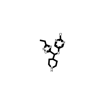 CCc1noc(C(Oc2cnc(Cl)nc2)C2CCNCC2)n1